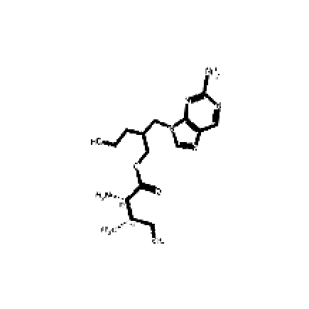 CC[C@H](C)[C@H](N)C(=O)OCC(CCO)Cn1cnc2cnc(N)nc21